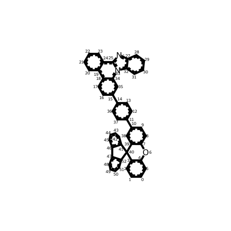 c1ccc2c(c1)Oc1ccc(-c3ccc(-c4ccc5c6ccccc6c6nc7ccccc7n6c5c4)cc3)cc1C21c2ccccc2-c2ccccc21